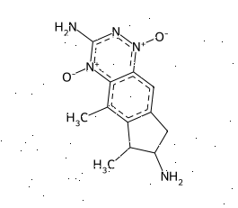 Cc1c2c(cc3c1[n+]([O-])c(N)n[n+]3[O-])CC(N)C2C